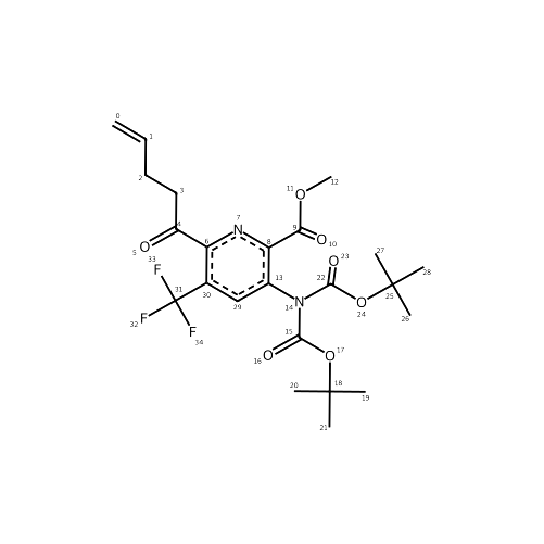 C=CCCC(=O)c1nc(C(=O)OC)c(N(C(=O)OC(C)(C)C)C(=O)OC(C)(C)C)cc1C(F)(F)F